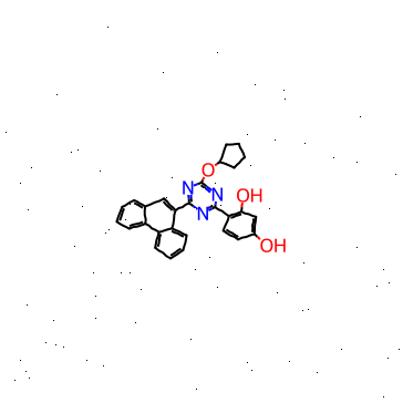 Oc1ccc(-c2nc(OC3CCCC3)nc(-c3cc4ccccc4c4ccccc34)n2)c(O)c1